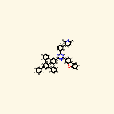 Cc1ccc(-c2cccc(-c3nc(-c4ccc(-c5c(-c6ccccc6)cc(-c6ccccc6)cc5-c5ccccc5)cc4)nc(-c4ccc5c(c4)oc4ccccc45)n3)c2)c(C)n1